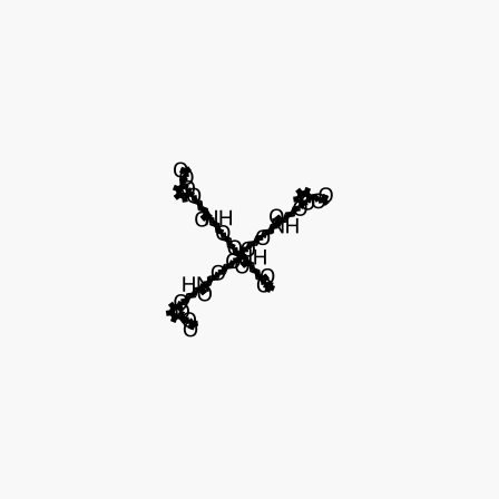 CC(=O)OCC1OC(OCCCCC(=O)NCCCOCCCOCC(COCCCOCCCNC(=O)CCCCOC2OC(COC(C)=O)C(C)C(C)C2C)(COCCCOCCCNC(=O)CCCCOC2OC(COC(C)=O)C(C)C(C)C2C)NC(=O)CCCCC(=O)OC(C)(C)C)C(C)C(C)C1C